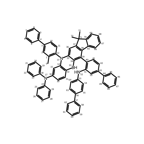 Cc1cc(-c2ccccc2)ccc1N1c2cc(N(c3ccccc3)c3ccccc3)ccc2Bc2c1cc1c(c2-c2ccc(-c3ccccc3)cc2Nc2ccc(-c3ccccc3)cc2)-c2ccccc2C1(C)C